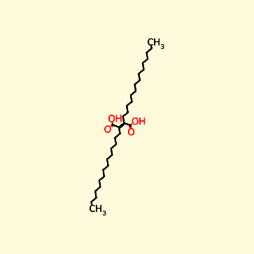 CCCCCCCCCCCCCCCC(C(=O)O)=C(CCCCCCCCCCCCCCC)C(=O)O